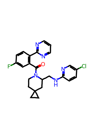 O=C(c1cc(F)ccc1-c1ncccn1)N1CCC2(CC2)CC1CNc1ccc(Cl)cn1